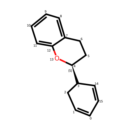 C1=CCC([C@@H]2CCc3ccccc3O2)C=C1